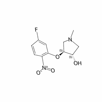 CN1C[C@H](Oc2cc(F)ccc2[N+](=O)[O-])[C@@H](O)C1